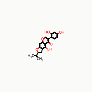 C=C(C)C1Cc2c(cc3occ(-c4ccc(O)cc4O)c(=O)c3c2O)O1